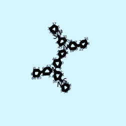 C1=CC(c2ccc(N(c3ccc(-c4ccc(N(c5ccc(-c6ccccc6)cc5)c5ccc(-c6nc7ccccc7s6)cc5)cc4)cc3)c3ccc(-c4nc5ccccc5s4)cc3)cc2)=CCC1